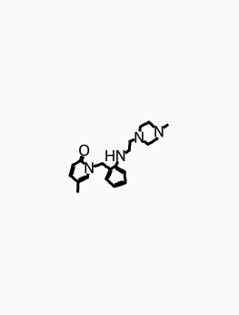 Cc1ccc(=O)n(Cc2ccccc2NCCN2CCN(C)CC2)c1